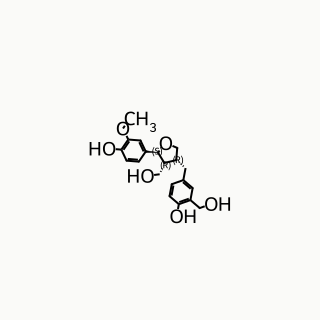 COc1cc([C@H]2OC[C@H](Cc3ccc(O)c(CO)c3)[C@@H]2CO)ccc1O